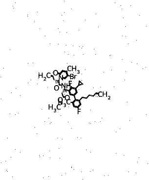 C=CCCCCc1cc(F)cc(C)c1-c1cc(C2CC2)c(F)c([C@H](CC(=O)OCC)NC(=O)[C@H](CC=C)n2cc(Br)c(C)cc2=O)c1